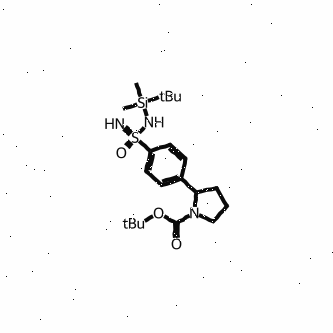 CC(C)(C)OC(=O)N1CCCC1c1ccc(S(=N)(=O)N[Si](C)(C)C(C)(C)C)cc1